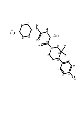 CC(C)[C@@H](NC(=O)N[C@H]1CC[C@@H](O)CC1)C(=O)N1CCC(c2ccc(Cl)cc2)C(C)(C)C1